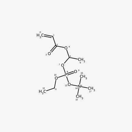 C=CC(=O)OC(C)OP(=O)(OCC)O[N+](C)(C)C